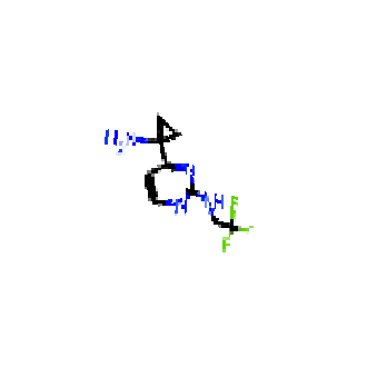 NC1(c2ccnc(NCC(F)(F)F)n2)CC1